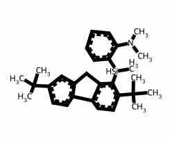 CN(C)c1ccccc1[SiH](C)c1c(C(C)(C)C)ccc2c1[CH]c1cc(C(C)(C)C)ccc1-2